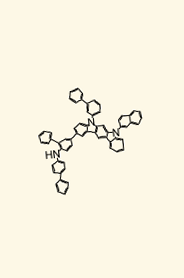 c1ccc(-c2ccc(Nc3ccc(-c4ccc5c(c4)c4cc6c7ccccc7n(-c7ccc8ccccc8c7)c6cc4n5-c4cccc(-c5ccccc5)c4)cc3-c3ccccc3)cc2)cc1